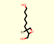 CCC1(CCCCCCO)COC1CO